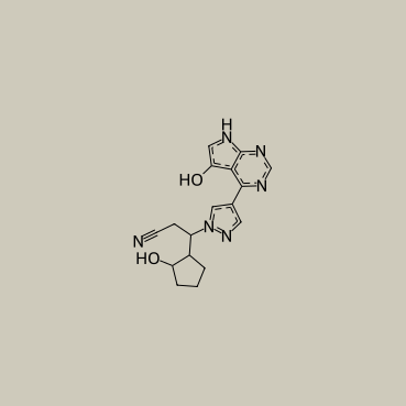 N#CCC(C1CCCC1O)n1cc(-c2ncnc3[nH]cc(O)c23)cn1